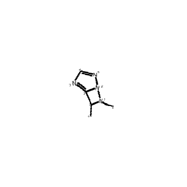 CC1c2ncnn2N1C